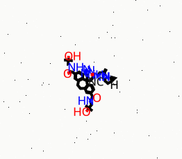 C=C(CN[C@@H](C)CC1(c2nnn[nH]2)c2ccc(C(=O)NCC(C)(C)O)cc2CCc2cc(C(=O)NCC(C)(C)O)ccc21)N1C(C#N)C[C@@H]2CC21